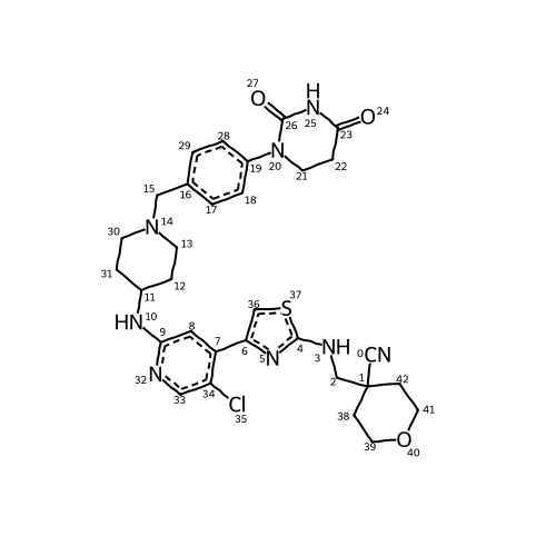 N#CC1(CNc2nc(-c3cc(NC4CCN(Cc5ccc(N6CCC(=O)NC6=O)cc5)CC4)ncc3Cl)cs2)CCOCC1